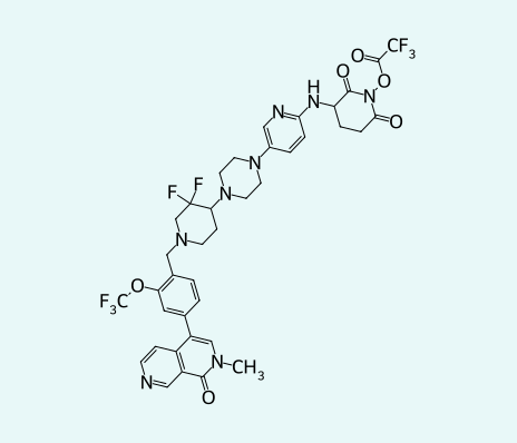 Cn1cc(-c2ccc(CN3CCC(N4CCN(c5ccc(NC6CCC(=O)N(OC(=O)C(F)(F)F)C6=O)nc5)CC4)C(F)(F)C3)c(OC(F)(F)F)c2)c2ccncc2c1=O